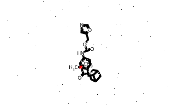 CN(C)C(=O)N1CC2CC(C1)C2Cc1ccc(NC(=O)OCc2cnco2)cc1